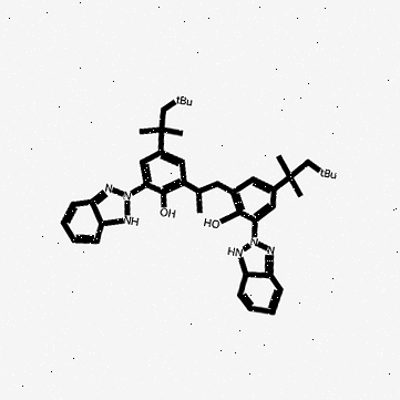 CC(Cc1cc(C(C)(C)CC(C)(C)C)cc(N2N=C3C=CC=CC3N2)c1O)c1cc(C(C)(C)CC(C)(C)C)cc(N2N=C3C=CC=CC3N2)c1O